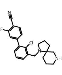 N#Cc1ccc(-c2cccc(CN3CCCC34CCCNC4)c2Cl)cc1F